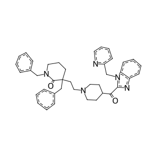 O=C(c1nc2ccccc2n1Cc1ccccn1)C1CCN(CCC2(Cc3ccccc3)CCCN(Cc3ccccc3)C2=O)CC1